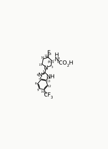 O=C(O)N[C@@H]1CN(c2nc3ccc(C(F)(F)F)cc3[nH]2)CC[C@H]1F